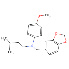 COc1ccc(N(CCC(C)C)Cc2ccc3c(c2)OCO3)cc1